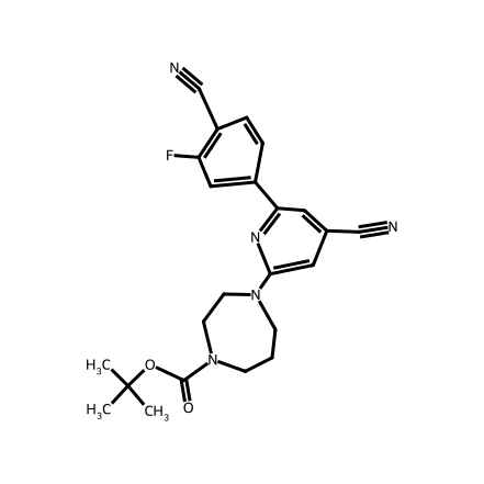 CC(C)(C)OC(=O)N1CCCN(c2cc(C#N)cc(-c3ccc(C#N)c(F)c3)n2)CC1